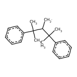 [CH2]C(C(C)(C)c1ccccc1)C(C)(C)c1ccccc1